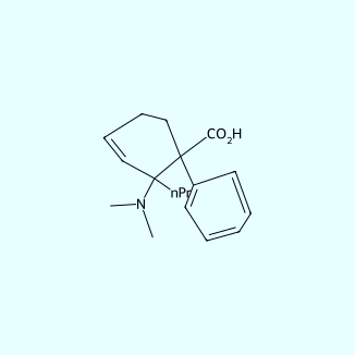 CCCC1(N(C)C)C=CCCC1(C(=O)O)c1ccccc1